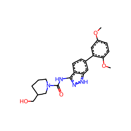 COc1ccc(OC)c(-c2ccc3c(NC(=O)N4CCCC(CO)C4)n[nH]c3c2)c1